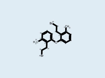 Cc1cccc(Oc2cccc(C)c2CCBr)c1CCBr